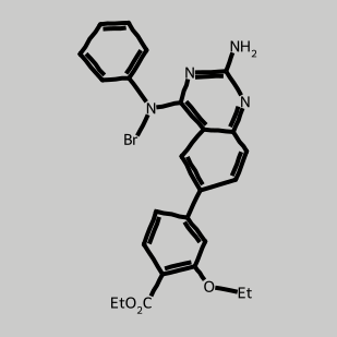 CCOC(=O)c1ccc(-c2ccc3nc(N)nc(N(Br)c4ccccc4)c3c2)cc1OCC